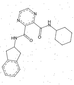 O=C(NC1CCCCC1)c1nccnc1C(=O)NC1Cc2ccccc2C1